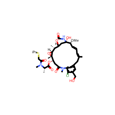 CO[C@@H]1/C=C/C=C(\C)Cc2cc(CO)c(Cl)c(c2)N(C)C(=O)C[C@H](OC(=O)[C@H](C)N(C)C(=O)CSC(C)C)[C@]2(C)O[C@H]2[C@H](C)[C@@H]2C[C@@]1(O)NC(=O)O2